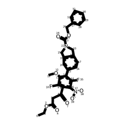 CCOC(=O)CC(=O)c1c(F)c(OC)c(-c2ccc3c(c2)CN(C(=O)OCc2ccccc2)C3)c(F)c1[N+](=O)[O-]